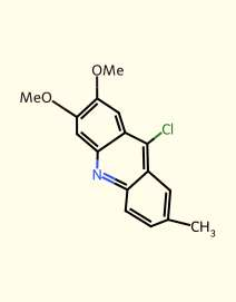 COc1cc2nc3ccc(C)cc3c(Cl)c2cc1OC